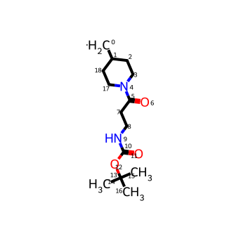 [CH2]C1CCN(C(=O)CCNC(=O)OC(C)(C)C)CC1